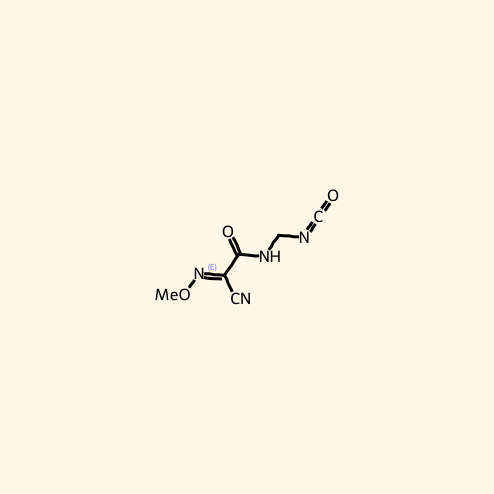 CO/N=C(\C#N)C(=O)NCN=C=O